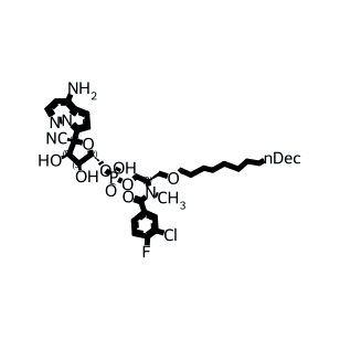 CCCCCCCCCCCCCCCCCCOC[C@H](COP(=O)(O)OC[C@H]1O[C@@](C#N)(c2ccc3c(N)ccnn23)[C@H](O)[C@@H]1O)N(C)C(=O)c1ccc(F)c(Cl)c1